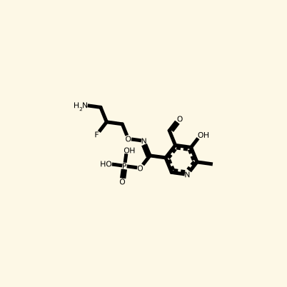 Cc1ncc(C(=NOCC(F)CN)OP(=O)(O)O)c(C=O)c1O